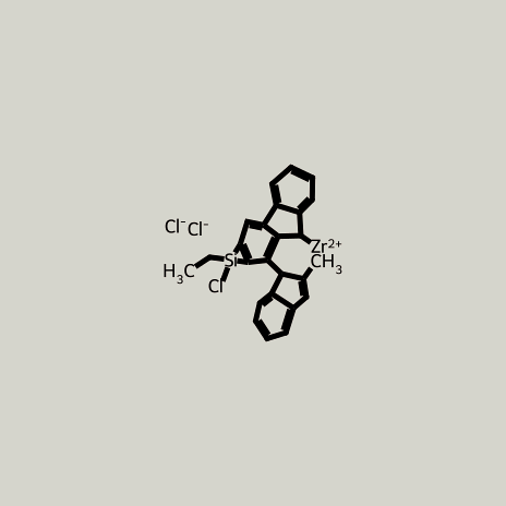 CC[Si]1(Cl)c2cc3c(c(C4C(C)=Cc5ccccc54)c21)[CH]([Zr+2])c1ccccc1-3.[Cl-].[Cl-]